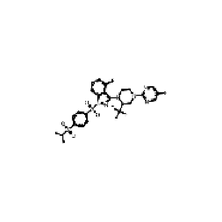 CC(C)S(=O)(=O)c1ccc(S(=O)(=O)n2nc(N3CCN(c4ncc(F)cn4)CC3C(F)(F)F)c3c(F)cccc32)cc1